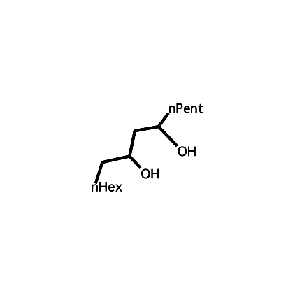 CCCCCCCC(O)CC(O)CCCCC